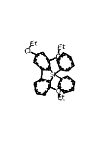 CCOc1cc(OCC)c2c(c1)-c1cccc(OCC)c1[Si]2(c1ccccc1)c1ccccc1